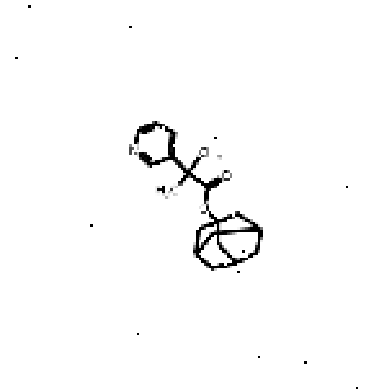 CC(C)(C(=O)OC12CC3CC(CC(C3)C1)C2)c1cccnc1